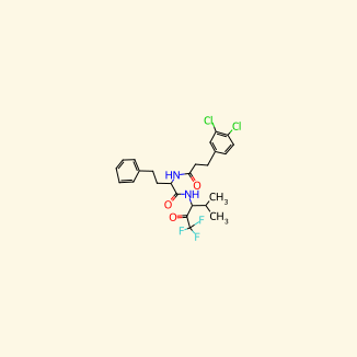 CC(C)C(NC(=O)C(CCc1ccccc1)NC(=O)CCc1ccc(Cl)c(Cl)c1)C(=O)C(F)(F)F